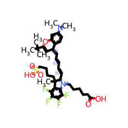 CN(C)c1ccc2c(c1)OC(C(C)(C)C)=C\C2=C/C=C/C=C/C1=[N+](CCCCCC(=O)O)c2c(F)c(F)c(F)c(F)c2C1(C)CCCCS(=O)(=O)O